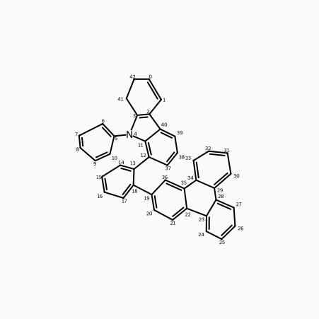 C1=Cc2c(n(-c3ccccc3)c3c(-c4ccccc4-c4ccc5c6ccccc6c6ccccc6c5c4)cccc23)CC1